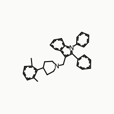 Cc1cccc(C)c1C1CCN(Cc2c(-c3ccccc3)n(-c3ccccc3)c3ccccc23)CC1